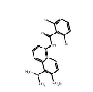 CCOC(=O)c1cnc2c(NC(=O)c3c(Cl)cccc3Cl)cccc2c1N(C)C